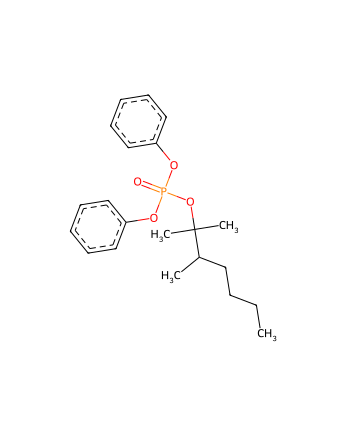 CCCCC(C)C(C)(C)OP(=O)(Oc1ccccc1)Oc1ccccc1